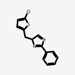 Clc1ccc(CC2C=NC(c3ccccc3)=N2)s1